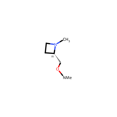 CNOC[C@@H]1CCN1C